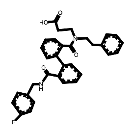 O=C(O)CCN(CCc1ccccc1)C(=O)c1ccccc1-c1ccccc1C(=O)NCc1ccc(F)cc1